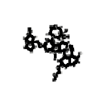 C#Cc1c(F)ccc2cc(OCOC)cc(-c3nccc4c5c(N6CCOC[C@@](C)(O)C6)nc(OC[C@@]67CCCN6C[C@H](F)C7)nc5n(C)c34)c12